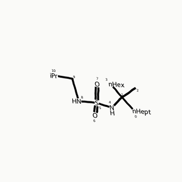 CCCCCCCC(C)(CCCCCC)NS(=O)(=O)NCC(C)C